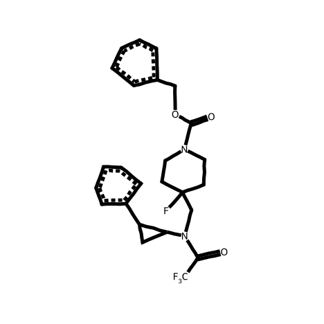 O=C(OCc1ccccc1)N1CCC(F)(CN(C(=O)C(F)(F)F)C2CC2c2ccccc2)CC1